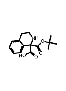 CC(C)(C)OC(=O)C1(C(=O)O)NCCc2ccccc21